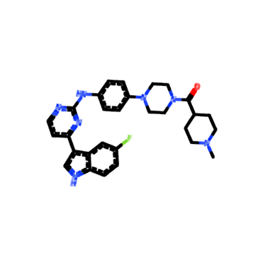 CN1CCC(C(=O)N2CCN(c3ccc(Nc4nccc(-c5c[nH]c6ccc(F)cc56)n4)cc3)CC2)CC1